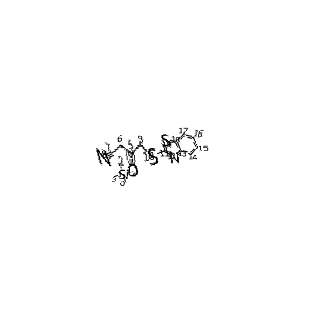 C[Si](C)(C)O[C@@H](CC#N)CSc1nc2ccccc2s1